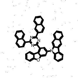 c1ccc2cc(-c3nc(-c4cccc5ccccc45)nc(-c4cc(-n5c6ccccc6c6cc7ccccc7cc65)cc5oc6ccccc6c45)n3)ccc2c1